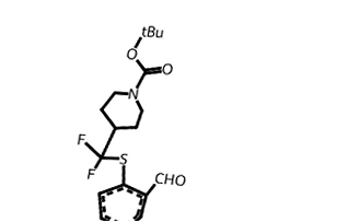 CC(C)(C)OC(=O)N1CCC(C(F)(F)Sc2ccccc2C=O)CC1